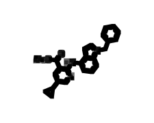 COC(=O)c1cc(C2CC2)cnc1Nc1cccc2c1ccn2Cc1ccccc1